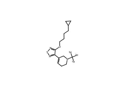 [2H]C([2H])([2H])N1CCC=C(c2nsnc2OCCCCC2CC2)C1